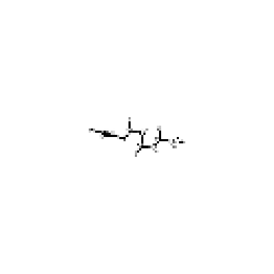 CC#CCC(C)OC(C)OC(C)OC(C)=O